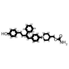 NC(=O)OCC1CCN(c2ccc(C=C(CCc3ccc(O)cc3)c3ccccc3)cc2)CC1